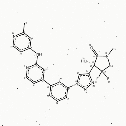 Cc1cc(Nc2nccc(-c3cccc(-n4cc([C@@]5(O)C(=O)N(C)CC5(F)F)nn4)n3)n2)ccn1